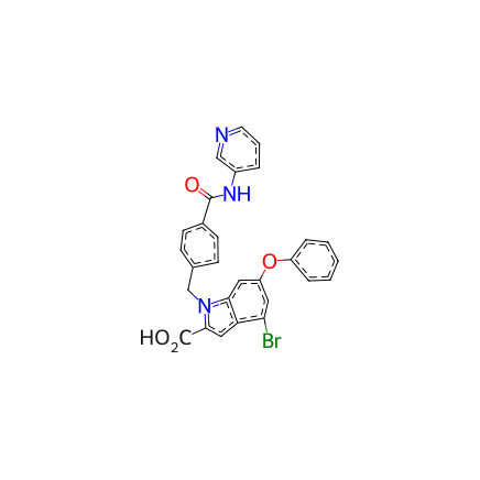 O=C(Nc1cccnc1)c1ccc(Cn2c(C(=O)O)cc3c(Br)cc(Oc4ccccc4)cc32)cc1